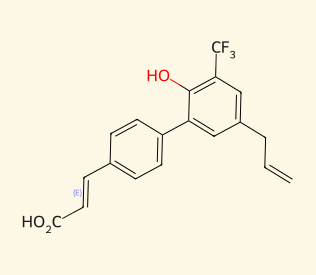 C=CCc1cc(-c2ccc(/C=C/C(=O)O)cc2)c(O)c(C(F)(F)F)c1